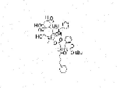 CC1=C2[C@@H](O)C(=O)[C@@]3(C)C([C@H](OC(=O)c4ccccc4)[C@](O)(C[C@@H]1OC(=O)[C@H](OC(=O)CCCN1CCCCC1)[C@@H](NC(=O)OC(C)(C)C)c1ccccc1)C2(C)C)[C@]1(O)CO[C@@H]1C[C@@H]3O